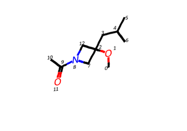 COC1(CC(C)C)CN(C(C)=O)C1